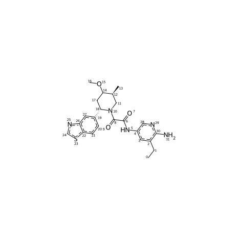 CCc1cc(NC(=O)C(=O)N2C[C@H](C)C(OC)C[C@H]2c2ccc3scnc3c2)cnc1N